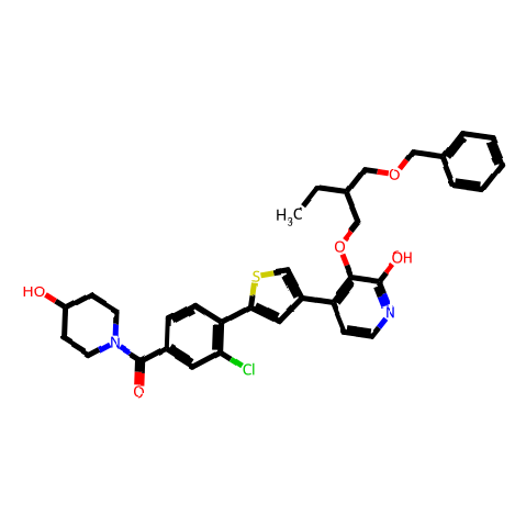 CCC(COCc1ccccc1)COc1c(-c2csc(-c3ccc(C(=O)N4CCC(O)CC4)cc3Cl)c2)ccnc1O